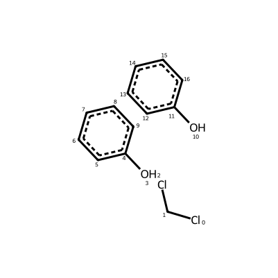 ClCCl.Oc1ccccc1.Oc1ccccc1